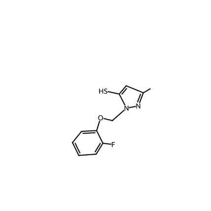 Cc1cc(S)n(COc2ccccc2F)n1